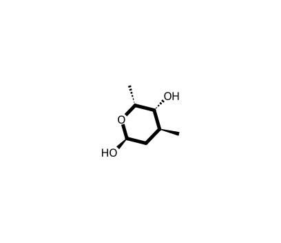 C[C@H]1C[C@@H](O)O[C@H](C)[C@@H]1O